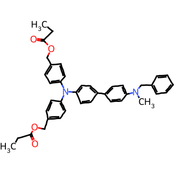 CCC(=O)OCc1ccc(N(c2ccc(COC(=O)CC)cc2)c2ccc(-c3ccc(N(C)Cc4ccccc4)cc3)cc2)cc1